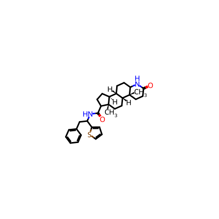 C[C@]12CCC(=O)NC1CC[C@@H]1[C@H]2CC[C@]2(C)C(C(=O)NC(Cc3ccccc3)c3cccs3)CC[C@@H]12